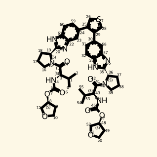 CC(C)[C@H](NC(=O)O[C@H]1CCOC1)C(=O)N1CCC[C@H]1c1nc2cc(-c3cscc3-c3ccc4[nH]c([C@@H]5CCCN5C(=O)[C@@H](NC(=O)O[C@H]5CCOC5)C(C)C)nc4c3)ccc2[nH]1